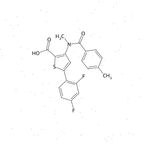 Cc1ccc(C(=O)N(C)c2cc(-c3ccc(F)cc3F)sc2C(=O)O)cc1